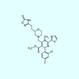 COC(=O)C1=C(CN2CCOC(CCc3noc(=O)[nH]3)C2)N(C)C(c2nccs2)=NC1c1ccc(F)cc1Cl